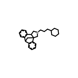 c1ccc2c(c1)C1CC3(CN(CCCC4CCCCC4)CC23)c2ccccc21